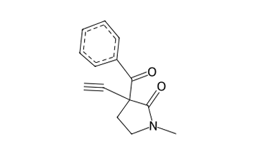 C#CC1(C(=O)c2ccccc2)CCN(C)C1=O